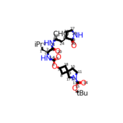 CC(C)C[C@H](NC(=O)OC1CC2(CCN(C(=O)OC(C)(C)C)C2)C1)C(=O)N[C@H](C=O)C[C@H]1CCNC1=O